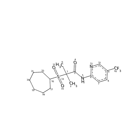 CC(C)(C(=O)Nc1ccc(C(F)(F)F)cn1)S(=O)(=O)C1CCCCCC1